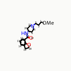 COCCCN1CCC(NC(=O)c2cccc3c2OCC3)CC1